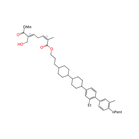 CCCCCc1ccc(-c2ccc(C3CCC(C4CCC(CCCOC(=O)/C(C)=C\C/C=C(\CO)C(=O)OC)CC4)CC3)cc2CC)cc1C